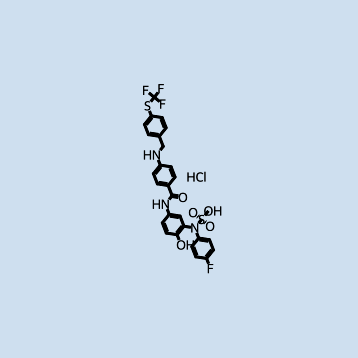 Cl.O=C(Nc1ccc(O)c(N(c2ccc(F)cc2)S(=O)(=O)O)c1)c1ccc(NCc2ccc(SC(F)(F)F)cc2)cc1